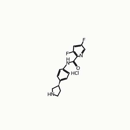 Cl.O=C(Nc1ccc([C@H]2CCNC2)cc1)c1ncc(F)cc1F